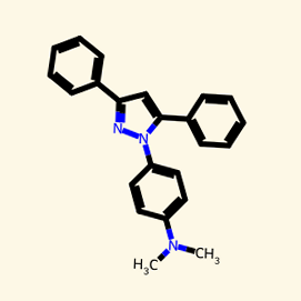 CN(C)c1ccc(-n2nc(-c3ccccc3)cc2-c2ccccc2)cc1